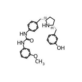 COc1cccc(NC(=O)Nc2ccc(C[C@@H]3CC[C@H](Cc4cccc(O)c4)N3)cc2)c1